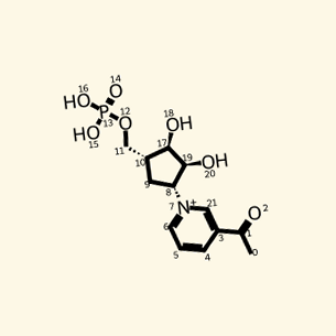 CC(=O)c1ccc[n+]([C@@H]2C[C@H](COP(=O)(O)O)[C@@H](O)[C@H]2O)c1